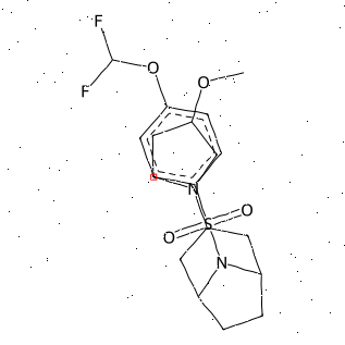 COC1CCN(C2CC3CCC(C2)N3S(=O)(=O)c2ccc(OC(F)F)cc2)C1